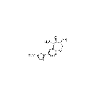 Cc1cnn(-c2ccc3c(c2)N(C)C(=O)[C@@H](N)CO3)c1